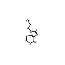 [O]CCn1cnc2c1CCCC2